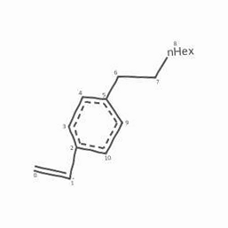 C=[C]c1ccc(CCCCCCCC)cc1